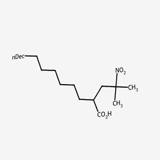 CCCCCCCCCCCCCCCCC(CC(C)(C)[N+](=O)[O-])C(=O)O